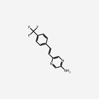 Nc1cnc(/C=C/c2ccc(C(F)(F)F)cc2)cn1